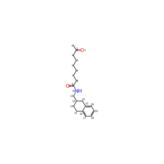 CC(=O)CCCCCCC(=O)NCC1CCc2ccccc2C1